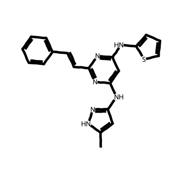 Cc1cc(Nc2cc(Nc3cccs3)nc(/C=C/c3ccccc3)n2)n[nH]1